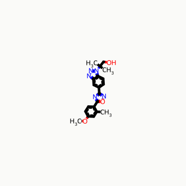 COc1ccc(-c2nc(-c3ccc4c(c3)nnn4C(C)(C)CO)no2)c(C)c1